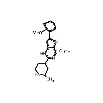 COc1ccccc1-c1cc2[nH]c(C3CCNC(C)C3)ncc-2n1.Cl.O